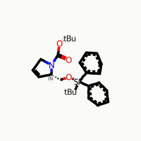 CC(C)(C)OC(=O)N1CC=C[C@H]1CO[Si](c1ccccc1)(c1ccccc1)C(C)(C)C